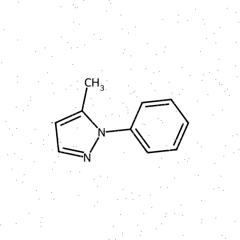 Cc1[c]cnn1-c1ccccc1